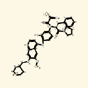 COc1cc2c(Oc3ccc(N(C(=O)C(N)=O)[C@@H](Cc4ccccc4)C(=O)N4CCCC4)cc3F)ccnc2cc1OCC1CCNCC1